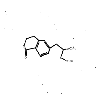 CCCCCCSC(C)Cc1ccc2c(c1)CCOC2=O